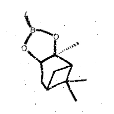 CC1(C)C2CC3OB(I)O[C@@]3(C)C1C2